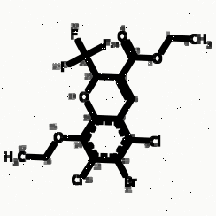 CCOC(=O)C1=Cc2c(Cl)c(Br)c(Cl)c(OCC)c2OC1C(F)(F)F